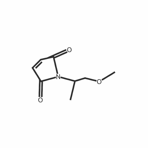 COCC(C)N1C(=O)C=CC1=O